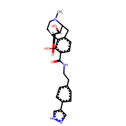 CN1CC[C@]23CC(=O)CC[C@@]2(O)C1Cc1ccc(C(=O)NCCc2ccc(-c4cn[nH]c4)cc2)c(O)c13